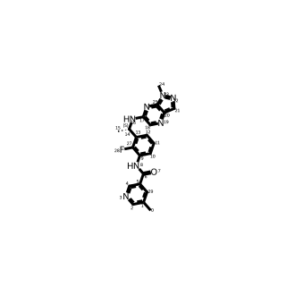 Cc1cncc(C(=O)Nc2cccc([C@H](C)Nc3cnc4cnn(C)c4n3)c2F)c1